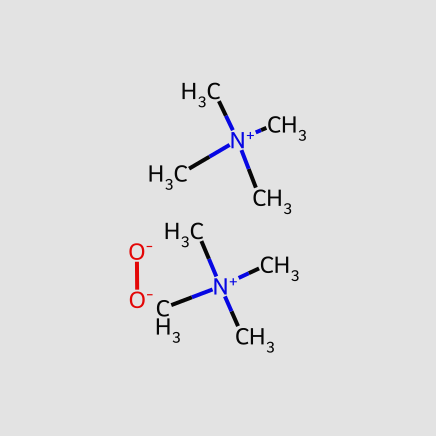 C[N+](C)(C)C.C[N+](C)(C)C.[O-][O-]